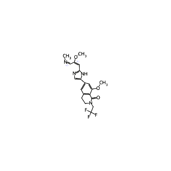 C/N=C\C(=C/c1ncc(-c2cc3c(c(OC)c2)C(=O)N(CC(F)(F)F)CC3)[nH]1)OC